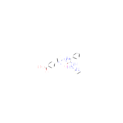 O=C(O)c1ccc(-c2csc(N3N=C(c4ccccc4)C(NNc4nccs4)C3=O)n2)cc1